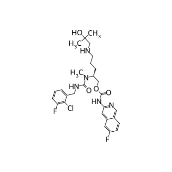 CN(C(=O)NCc1cccc(F)c1Cl)[C@@H](CCCNCC(C)(C)O)COC(=O)Nc1cc2cc(F)ccc2cn1